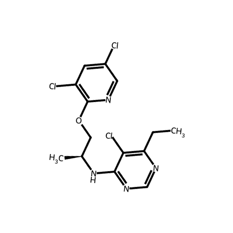 CCc1ncnc(N[C@@H](C)COc2ncc(Cl)cc2Cl)c1Cl